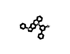 Brc1cc(-c2ccccc2)cc(N2c3ccccc3Cc3cc4c(ccn4-c4ccccc4)cc32)c1